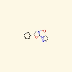 O=CN1CC(c2ccccc2)OC1N1CCC=N1